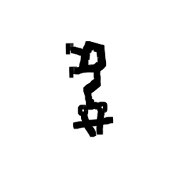 CC1(C)OB(/C=C/c2cccc(F)c2F)OC1(C)C